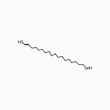 SC=CCCCCCCCCCCCCCCCC[SeH]